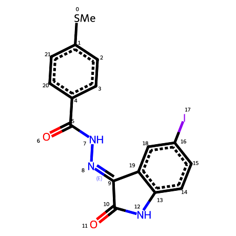 CSc1ccc(C(=O)N/N=C2/C(=O)Nc3ccc(I)cc32)cc1